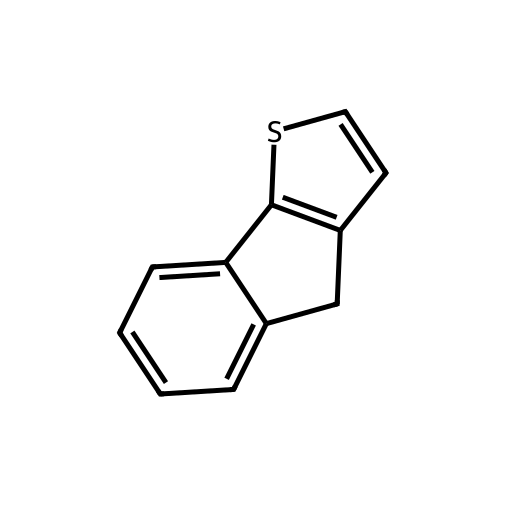 c1ccc2c(c1)Cc1ccsc1-2